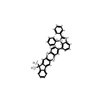 CC1(C)c2ccccc2-c2cc3c(cc21)Oc1ccc(-c2cccc4nc(-c5ccccc5)n(-c5ccccc5)c24)cc1O3